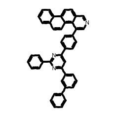 c1ccc(-c2cccc(-c3cc(-c4ccc(-c5cncc6ccc7c8ccccc8ccc7c56)cc4)nc(-c4ccccc4)n3)c2)cc1